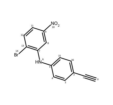 C#Cc1ccc(Nc2cc([N+](=O)[O-])ccc2Br)cc1